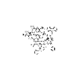 CC(=O)OCC1OC(OC2C(COC(C)=O)OC(OC3C(N=[N+]=[N-])C(OC[C@H](NC(=O)OCC4c5ccccc5-c5ccccc54)C(=O)OCc4ccccc4)OC4COC(c5ccccc5)OC43)C(OC(C)=O)C2OC(C)=O)C(OC(C)=O)C(OC(C)=O)C1OC(C)=O